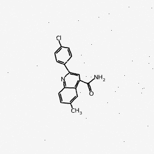 Cc1ccc2nc(-c3ccc(Cl)cc3)cc(C(N)=O)c2c1